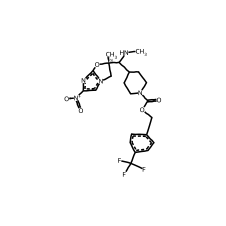 CNC(C1CCN(C(=O)OCc2ccc(C(F)(F)F)cc2)CC1)[C@]1(C)Cn2cc([N+](=O)[O-])nc2O1